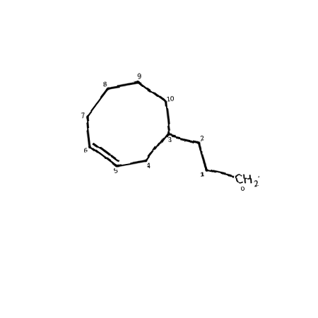 [CH2]CCC1CC=CCCCC1